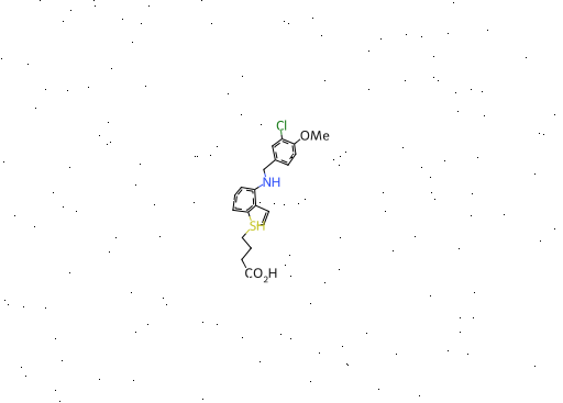 COc1ccc(CNc2cccc3c2C=C[SH]3CCCC(=O)O)cc1Cl